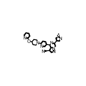 Cn1cc(-c2cn3ncc(C#N)c3c(-c3ccc(N4CCC(Oc5ccccn5)CC4)nc3)n2)cn1